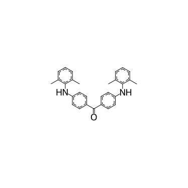 Cc1cccc(C)c1Nc1ccc(C(=O)c2ccc(Nc3c(C)cccc3C)cc2)cc1